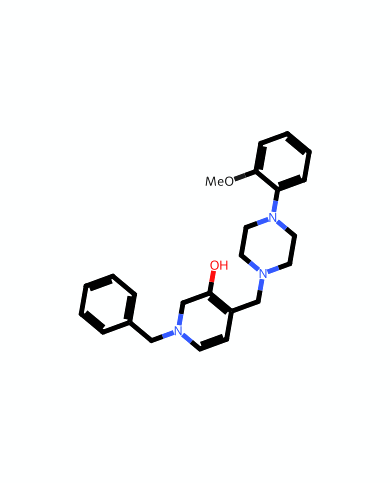 COc1ccccc1N1CCN(CC2=C(O)CN(Cc3ccccc3)C=C2)CC1